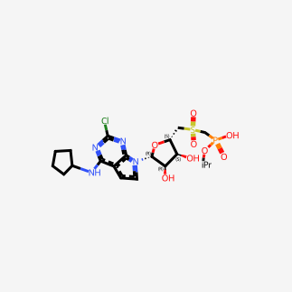 CC(C)OP(=O)(O)CS(=O)(=O)C[C@H]1O[C@@H](n2ccc3c(NC4CCCC4)nc(Cl)nc32)[C@H](O)[C@@H]1O